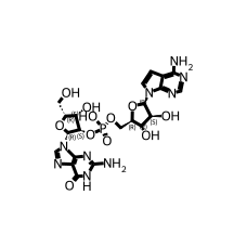 Nc1nc2c(ncn2[C@@H]2O[C@H](CO)[C@H](O)[C@@H]2OP(=O)(O)OC[C@H]2O[C@@H](n3ccc4c(N)ncnc43)[C@@H](O)[C@H]2O)c(=O)[nH]1